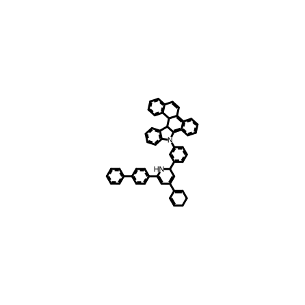 C1=CC(C2=CC(c3cccc(N4C5=c6ccccc6=C6C=Cc7ccccc7C6C5c5ccccc54)c3)NC(c3ccc(-c4ccccc4)cc3)=C2)=CCC1